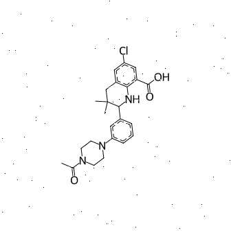 CC(=O)N1CCN(c2cccc(C3Nc4c(cc(Cl)cc4C(=O)O)CC3(C)C)c2)CC1